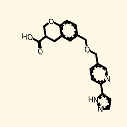 O=C(O)C1COc2ccc(COCc3ccc(-c4ccn[nH]4)nc3)cc2C1